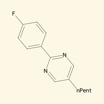 CCCCCc1cnc(-c2ccc(F)cc2)nc1